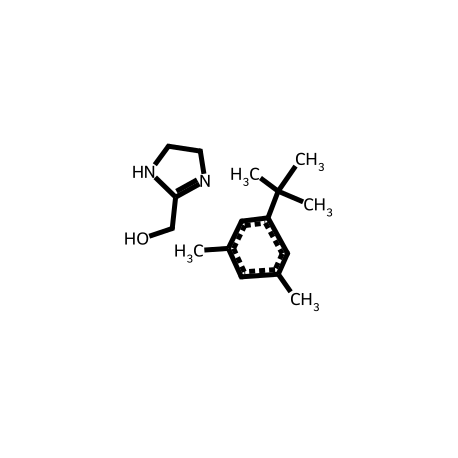 Cc1cc(C)cc(C(C)(C)C)c1.OCC1=NCCN1